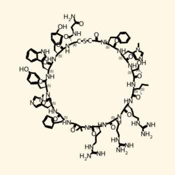 CC[C@H](C)[C@@H]1NC(=O)[C@H]([C@@H](C)O)NC(=O)[C@H](Cc2cncn2C)NC(=O)[C@H](Cc2ccccc2)NC(=O)CSC[C@@H](C(=O)NCC(N)=O)NC(=O)[C@H](Cc2ccc(O)cc2)NC(=O)[C@H](Cc2c[nH]c3ccccc23)NC(=O)[C@H](Cc2ccc(O)cc2)NC(=O)[C@H](Cc2cncn2C)NC(=O)[C@H](Cc2ccccc2)NC(=O)C(C)(C)NC(=O)[C@H](CCCNC(=N)N)NC(=O)[C@H](CCCNC(=N)N)NC(=O)[C@H](CCCNC(=N)N)NC1=O